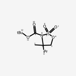 CC(C)C1(C)COS(=O)(=O)N1C(=O)OC(C)(C)C